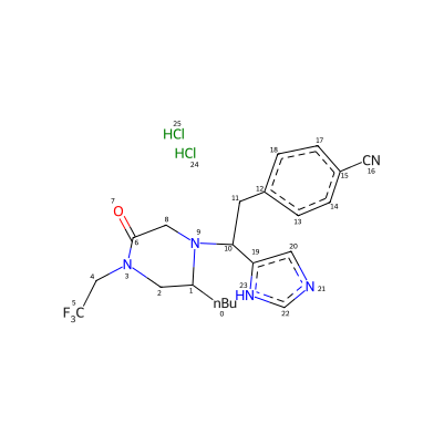 CCCCC1CN(CC(F)(F)F)C(=O)CN1C(Cc1ccc(C#N)cc1)c1cnc[nH]1.Cl.Cl